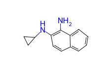 Nc1c(NC2CC2)ccc2ccccc12